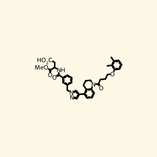 COC(=O)C(CC(=O)O)NC(=O)c1cccc(Cn2cc(-c3cccc4c3CCCN4C(=O)CCCOc3cccc(C)c3C)cn2)c1